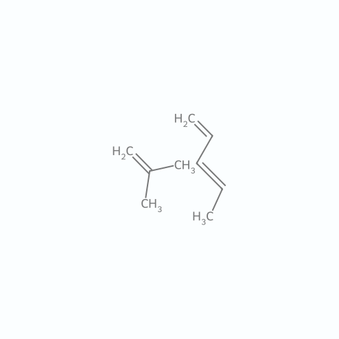 C=C(C)C.C=CC=CC